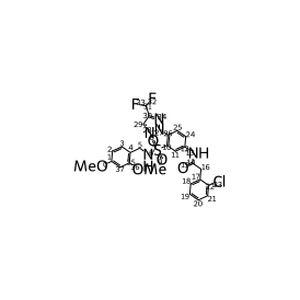 COc1ccc(CNS(=O)(=O)c2cc(NC(=O)Cc3ccccc3Cl)ccc2-n2ncc(C(F)F)n2)c(OC)c1